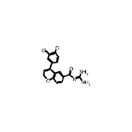 NC(N)=NC(=O)c1ccc2c(c1)C(c1ccc(Cl)c(Cl)c1)=CCO2